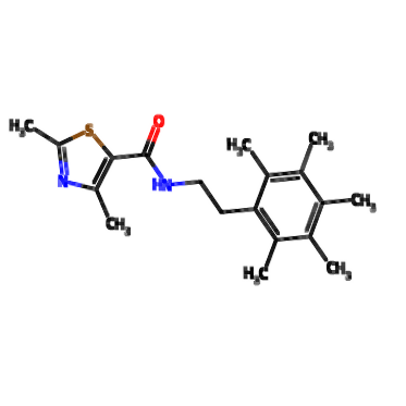 Cc1nc(C)c(C(=O)NCCc2c(C)c(C)c(C)c(C)c2C)s1